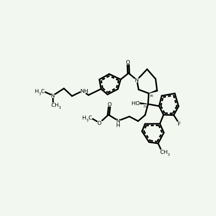 COC(=O)NCCC[C@@](O)(c1cccc(F)c1-c1cccc(C)c1)[C@@H]1CCCN(C(=O)c2ccc(CNCCN(C)C)cc2)C1